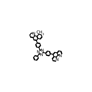 C[C@@H]1CC=Cc2c(-c3ccc(-c4nc(-c5ccccc5)nc(-c5ccc(-c6cc7cccnc7c7ncccc67)cc5)n4)cc3)cc3c(c21)=NCCC=3